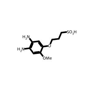 COc1cc(N)c(N)cc1OCCCS(=O)(=O)O